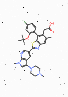 Cc1cc2nc(-c3cnc4c(c3)c(N3CCN(C)CC3)cn4C)sc2c(-c2ccc(Cl)cc2OC(C)(C)C)c1CC(=O)O